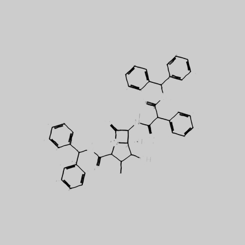 CC1C(O)[C@@H]2C(NC(=O)C(C(=O)OC(c3ccccc3)c3ccccc3)c3ccccc3)C(=O)N2C1C(=O)OC(c1ccccc1)c1ccccc1